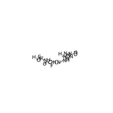 C[S@@+]([O-])CCNC(=O)c1ccc(N2CCN(CCNc3nc(N)n4nc(-c5ccco5)nc4n3)CC2)c(F)c1